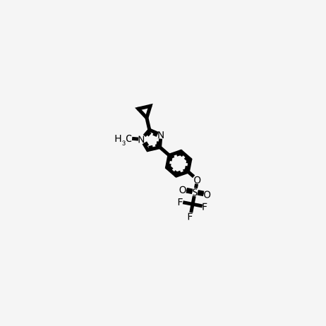 Cn1cc(-c2ccc(OS(=O)(=O)C(F)(F)F)cc2)nc1C1CC1